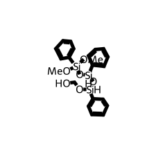 CO[Si](OC)(O[SiH](O[SiH](OCO)c1ccccc1)c1ccccc1)c1ccccc1